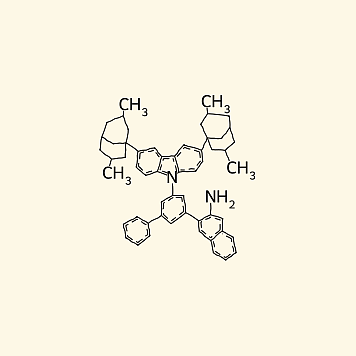 CC1CC2CC(C)CC(c3ccc4c(c3)c3cc(C56CC(C)CC(CC(C)C5)C6)ccc3n4-c3cc(-c4ccccc4)cc(-c4cc5ccccc5cc4N)c3)(C1)C2